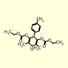 CCOC(=O)OC1=C(C)NC(C)=C(OC(=O)OCC)N1c1ccc(C)cc1